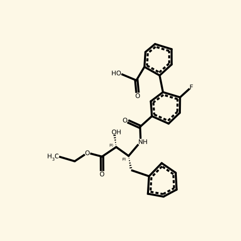 CCOC(=O)[C@H](O)[C@@H](Cc1ccccc1)NC(=O)c1ccc(F)c(-c2ccccc2C(=O)O)c1